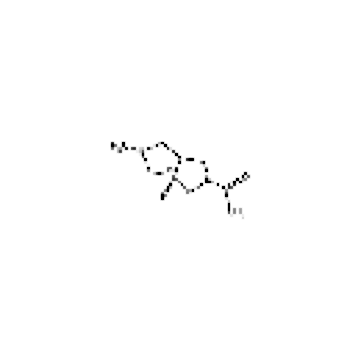 CC(=O)N1CC2CN(C)C[C@H]2C1